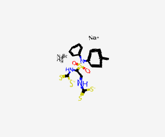 C[CH2][Hg].Cc1ccc(N(c2ccccc2)S(=O)(=O)C(CNC(=S)[S-])NC(=S)[S-])cc1.[Na+].[Na+]